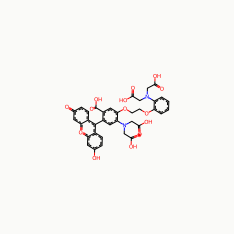 O=C(O)CN(CC(=O)O)c1ccccc1OCCOc1cc(C(=O)O)c(-c2c3ccc(=O)cc-3oc3cc(O)ccc23)cc1N(CC(=O)O)CC(=O)O